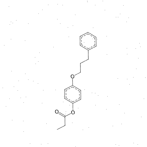 CCC(=O)Oc1ccc(OCCCc2ccccc2)cc1